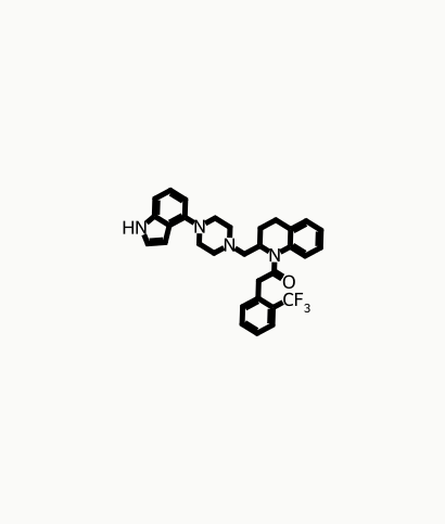 O=C(Cc1ccccc1C(F)(F)F)N1c2ccccc2CCC1CN1CCN(c2cccc3[nH]ccc23)CC1